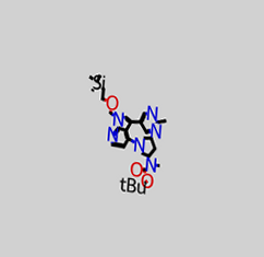 Cc1ncc(-c2cn(COCC[Si](C)(C)C)c3nccc(N4CCC[C@H](N(C)C(=O)OC(C)(C)C)C4)c23)cn1